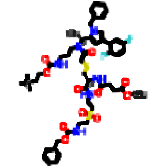 CC(C)(C)OC(=O)CCC(=O)N[C@@H](CSCC(=O)N(CCCNC(=O)OCC[Si](C)(C)C)[C@@H](c1cc(-c2cc(F)ccc2F)cn1Cc1ccccc1)C(C)(C)C)C(=O)NCCS(=O)(=O)CCNC(=O)OCc1ccccc1